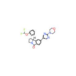 O=C1c2ccc(-c3cnc(N4CCOCC4)nc3)cc2[C@H]2[C@@H](c3ccccc3OC(F)F)CCN12